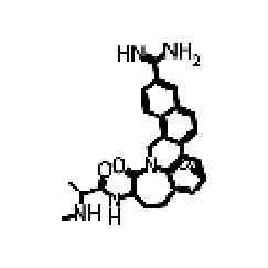 CN[C@@H](C)C(=O)NC1CCc2ccccc2N(Cc2c(OC)ccc3cc(C(=N)N)ccc23)C1=O